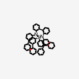 c1ccc(-c2cccc(N3c4ccccc4-c4ccccc4N(c4cccc(-c5ccccc5)c4)[Si]3(c3cccc(-c4ccccc4)c3)c3cccc(-c4ccccc4)c3)c2)cc1